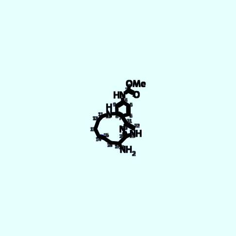 COC(=O)Nc1ccc2c(c1)NCCC/C=C/C[C@H](N)c1nc-2c[nH]1